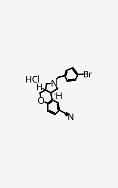 Cl.N#Cc1ccc2c(c1)[C@@H]1CN(Cc3ccc(Br)cc3)C[C@H]1CO2